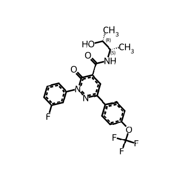 C[C@H](NC(=O)c1cc(-c2ccc(OC(F)(F)F)cc2)nn(-c2cccc(F)c2)c1=O)[C@@H](C)O